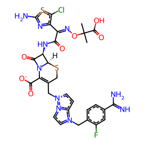 CC(C)(O/N=C(\C(=O)N[C@@H]1C(=O)N2C(C(=O)[O-])=C(C[n+]3ccc4n(Cc5ccc(C(=N)N)cc5F)ccn43)CS[C@H]12)c1nc(N)sc1Cl)C(=O)O